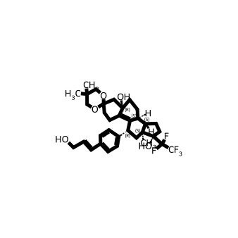 CC1(C)COC2(CCC3=C4[C@@H](CC[C@@]3(O)C2)[C@@H]2CC[C@@](O)(C(F)(F)C(F)(F)F)[C@@]2(C)C[C@@H]4c2ccc(C=CCO)cc2)OC1